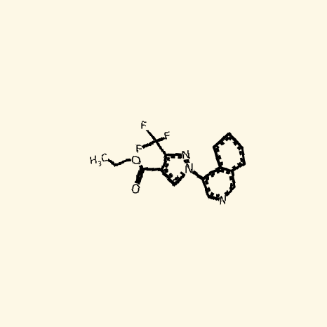 CCOC(=O)c1cn(-c2cncc3ccccc23)nc1C(F)(F)F